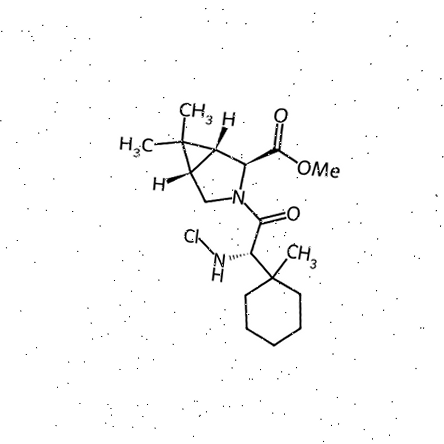 COC(=O)[C@@H]1[C@@H]2[C@H](CN1C(=O)[C@@H](NCl)C1(C)CCCCC1)C2(C)C